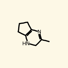 CC1=NC2=C(CCC2)NC1